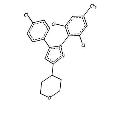 FC(F)(F)c1cc(Cl)c(-n2nc(C3CCOCC3)cc2-c2ccc(Cl)cc2)c(Cl)c1